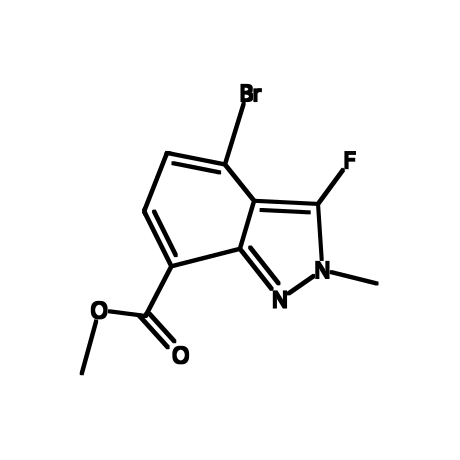 COC(=O)c1ccc(Br)c2c(F)n(C)nc12